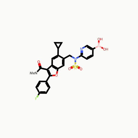 CNC(=O)c1c(-c2ccc(F)cc2)oc2cc(CN(c3ccc(B(O)O)cn3)[SH](=O)=O)c(C3CC3)cc12